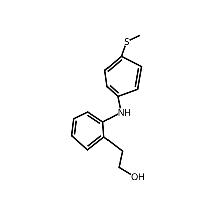 CSc1ccc(Nc2ccccc2CCO)cc1